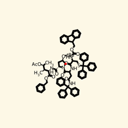 CC(=O)O[C@@H](C)[C@H](C)[C@H](NC(=O)[C@@H]1C[C@@H](OC(C)(C)C)CN1C(=O)C(CC(=O)NC(c1ccccc1)(c1ccccc1)c1ccccc1)NC(=O)C(CSC(c1ccccc1)(c1ccccc1)c1ccccc1)NC(=O)OCC1c2ccccc2-c2ccccc21)C(=O)OCc1ccccc1